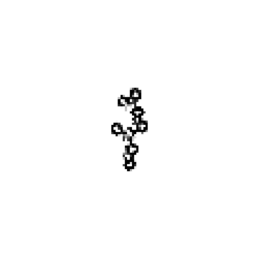 c1ccc(-c2nc(-c3ccc4c(c3)sc3ccccc34)nc(-c3cccc4c3sc3cc(-n5c6ccccc6c6cccnc65)ccc34)n2)cc1